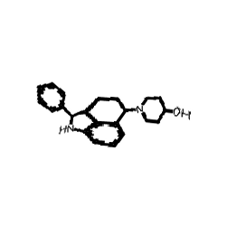 OC1CCN(C2CCC3c4c(cccc42)NC3c2ccccc2)CC1